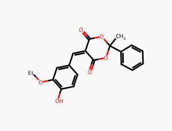 CCOc1cc(C=C2C(=O)OC(C)(c3ccccc3)OC2=O)ccc1O